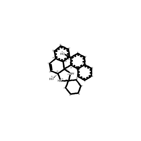 Oc1ccc2ccccc2c1C12NC3(CCCCC3)N[C@@]1(O)C=Cc1ccccc12